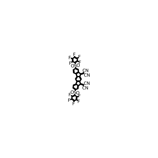 N#CC(C#N)=C1c2cc(S(=O)(=O)c3c(F)c(F)c(F)c(F)c3F)ccc2-c2cc3c(cc21)C(=C(C#N)C#N)c1cc(S(=O)(=O)c2c(F)c(F)c(F)c(F)c2F)ccc1-3